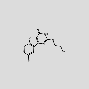 O=c1[nH]c(NCCO)nc2c1oc1ccc(Br)cc12